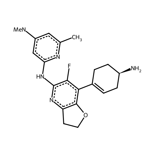 CNc1cc(C)nc(Nc2nc3c(c(C4=CC[C@H](N)CC4)c2F)OCC3)c1